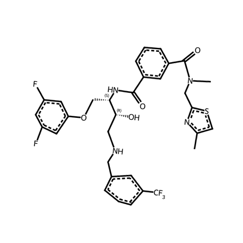 Cc1csc(CN(C)C(=O)c2cccc(C(=O)N[C@@H](COc3cc(F)cc(F)c3)[C@H](O)CNCc3cccc(C(F)(F)F)c3)c2)n1